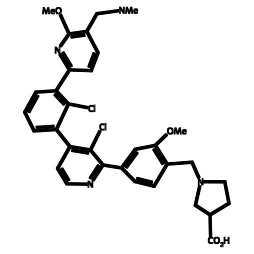 CNCc1ccc(-c2cccc(-c3ccnc(-c4ccc(CN5CCC(C(=O)O)C5)c(OC)c4)c3Cl)c2Cl)nc1OC